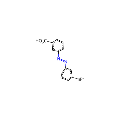 CCCc1cccc(/N=N/c2cccc(C(=O)O)c2)c1